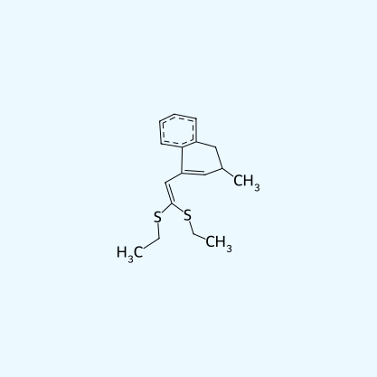 CCSC(=CC1=CC(C)Cc2ccccc21)SCC